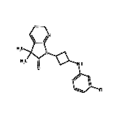 CC1(C)C(=O)N(C2CC(Nc3cccc(Cl)n3)C2)c2ncccc21